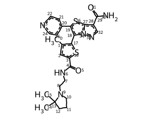 Cc1cc(C(=O)NCCN2CCCC2(C)C)sc1-c1c(-c2ccncc2)sc2c(C(N)=O)cnn12